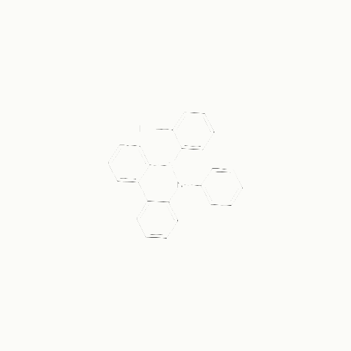 FC(F)(F)c1ccccc1B1c2ccccc2-c2ccccc2N1c1ccccc1